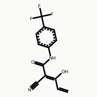 C=CC(O)=C(C#N)C(=O)Nc1ccc(C(F)(F)F)cc1